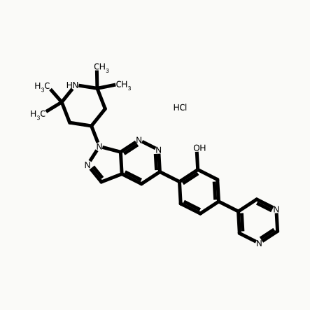 CC1(C)CC(n2ncc3cc(-c4ccc(-c5cncnc5)cc4O)nnc32)CC(C)(C)N1.Cl